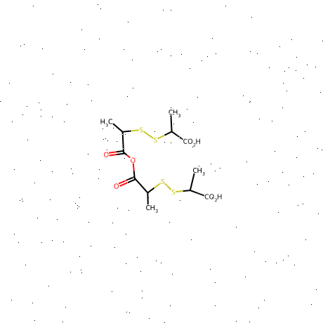 CC(SSC(C)C(=O)OC(=O)C(C)SSC(C)C(=O)O)C(=O)O